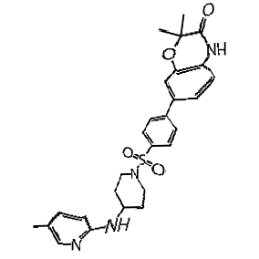 Cc1ccc(NC2CCN(S(=O)(=O)c3ccc(-c4ccc5c(c4)OC(C)(C)C(=O)N5)cc3)CC2)nc1